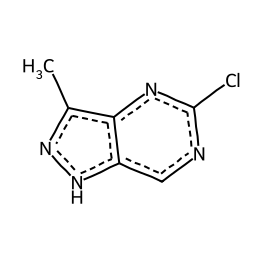 Cc1n[nH]c2cnc(Cl)nc12